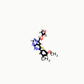 COc1cc(C)cc2cc(-c3cc(COC4CCOC4)n4ncnc(N)c34)sc12